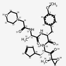 COc1ccc(C[C@H](NC(=O)[C@H](C)NC(=O)CN2CCOCC2)C(=O)N[C@@H](CC2CC=CC2)C(=O)[C@@]2(C)CO2)cc1